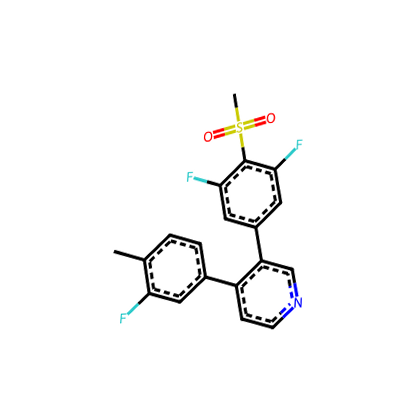 Cc1ccc(-c2ccncc2-c2cc(F)c(S(C)(=O)=O)c(F)c2)cc1F